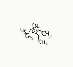 C=C(S)CCC(=C)OCC(CC)CCCC